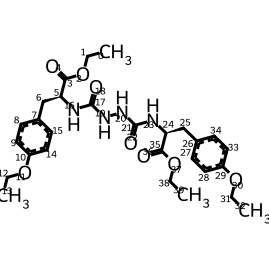 CCOC(=O)[C@H](Cc1ccc(OCC)cc1)NC(=O)NNC(=O)N[C@@H](Cc1ccc(OCC)cc1)C(=O)OCC